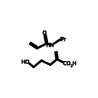 C=C(CCCO)C(=O)O.C=CC(=O)NC(C)C